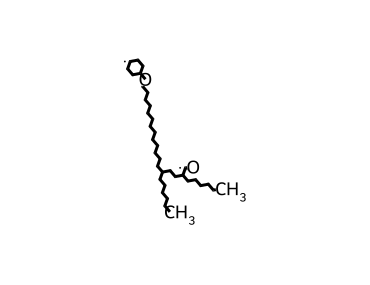 CCCCCCC([C]=O)CCC(CCCCCC)CCCCCCCCCCCCCOC1CC[CH]CC1